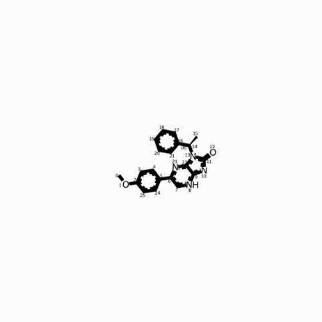 COc1ccc(-c2c[nH]c3nc(=O)n([C@H](C)c4ccccc4)c-3n2)cc1